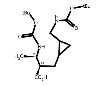 C[C@@H](NC(=O)OC(C)(C)C)[C@@H](CC1CC1CNC(=O)OC(C)(C)C)C(=O)O